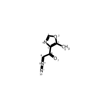 Cc1ocnc1C(=O)C=[N+]=[N-]